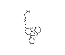 OCCOCCC1CCC23C=CC=CC2(N1)C1=CCC=CC1=CN1CC=NC=C13